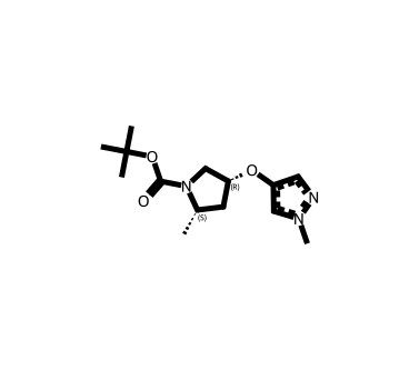 C[C@H]1C[C@@H](Oc2cnn(C)c2)CN1C(=O)OC(C)(C)C